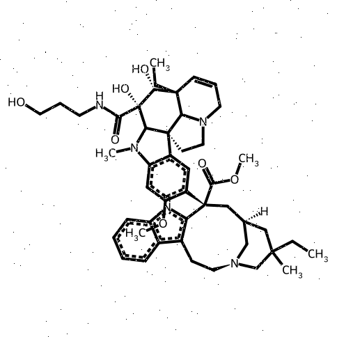 CCC1(C)C[C@H]2C[N@](CCc3c([nH]c4ccccc34)[C@@](C(=O)OC)(c3cc4c(cc3OC)N(C)C3[C@]45CCN4CC=C[C@](CC)(C45)[C@@H](O)[C@]3(O)C(=O)NCCCO)C2)C1